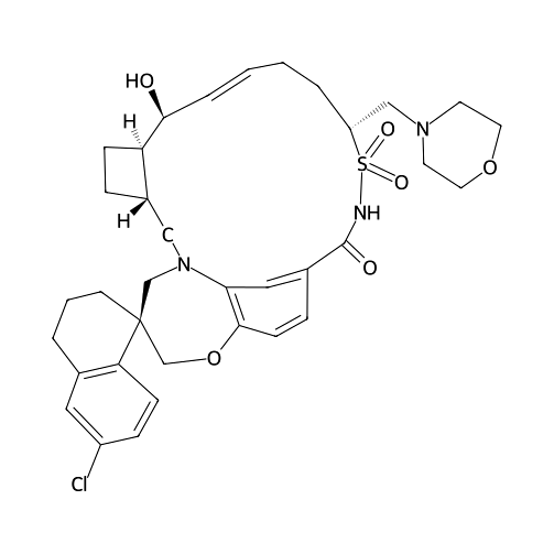 O=C1NS(=O)(=O)[C@@H](CN2CCOCC2)CC/C=C/[C@H](O)[C@@H]2CC[C@H]2CN2C[C@@]3(CCCc4cc(Cl)ccc43)COc3ccc1cc32